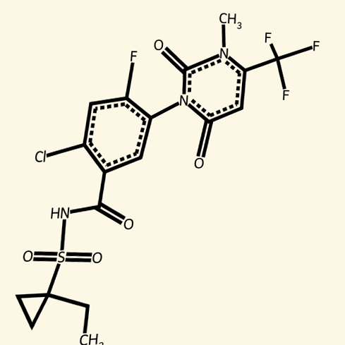 CCC1(S(=O)(=O)NC(=O)c2cc(-n3c(=O)cc(C(F)(F)F)n(C)c3=O)c(F)cc2Cl)CC1